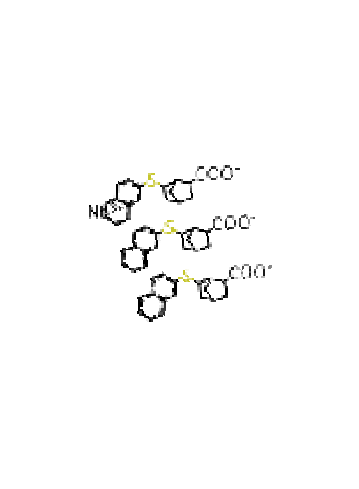 O=C([O-])C1CC2CC(Sc3ccc4ccccc4c3)C1C2.O=C([O-])C1CC2CC(Sc3ccc4ccccc4c3)C1C2.O=C([O-])C1CC2CC(Sc3ccc4ccccc4c3)C1C2.[Nb+3]